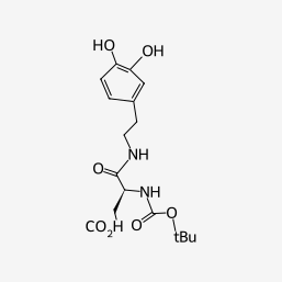 CC(C)(C)OC(=O)N[C@@H](CC(=O)O)C(=O)NCCc1ccc(O)c(O)c1